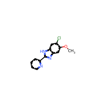 COc1cc2nc(-c3ccccn3)[nH]c2cc1Cl